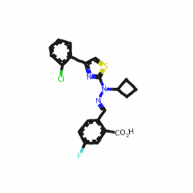 O=C(O)c1cc(F)ccc1C=NN(c1nc(-c2ccccc2Cl)cs1)C1CCC1